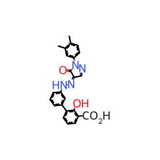 Cc1ccc(N2N=C/C(=N/Nc3cccc(-c4cccc(C(=O)O)c4O)c3)C2=O)cc1C